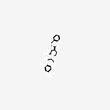 N#Cc1ccc2c(c1)OC[C@H](N1CCc3c(nn(Cc4ccccc4)c3Cl)C1=O)C(=O)N2